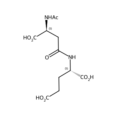 CC(=O)N[C@@H](CC(=O)N[C@@H](CCC(=O)O)C(=O)O)C(=O)O